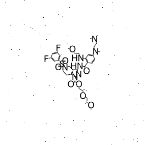 COCCNc1cc(N(C)CCN(C)C)ccc1C(=O)Nc1nn(C(=O)OCCOCCOC)c2c1CN(S(=O)(=O)c1cc(F)cc(F)c1)CC2